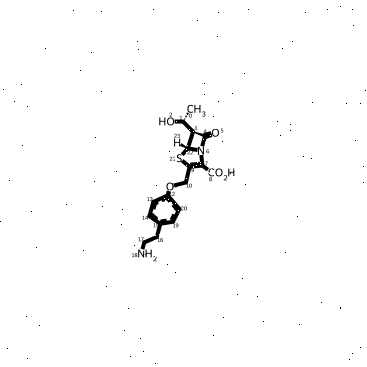 C[C@@H](O)[C@H]1C(=O)N2C(C(=O)O)=C(COc3ccc(CCN)cc3)S[C@H]12